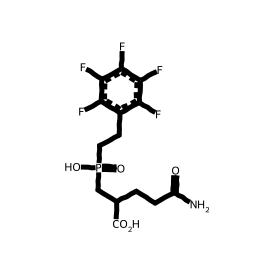 NC(=O)CCC(CP(=O)(O)CCc1c(F)c(F)c(F)c(F)c1F)C(=O)O